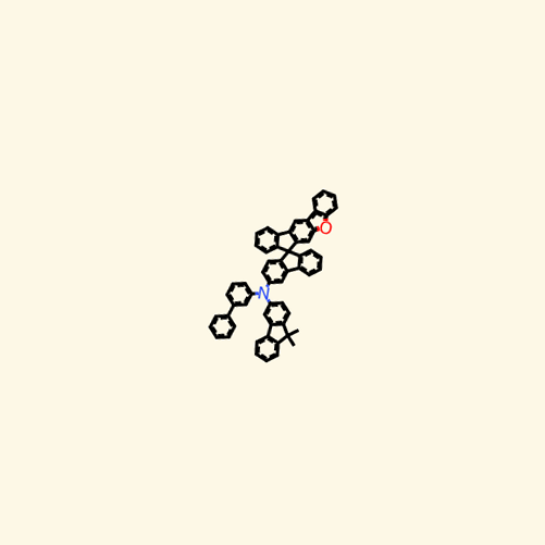 CC1(C)c2ccccc2-c2cc(N(c3cccc(-c4ccccc4)c3)c3ccc4c(c3)-c3ccccc3C43c4ccccc4-c4cc5c(cc43)oc3ccccc35)ccc21